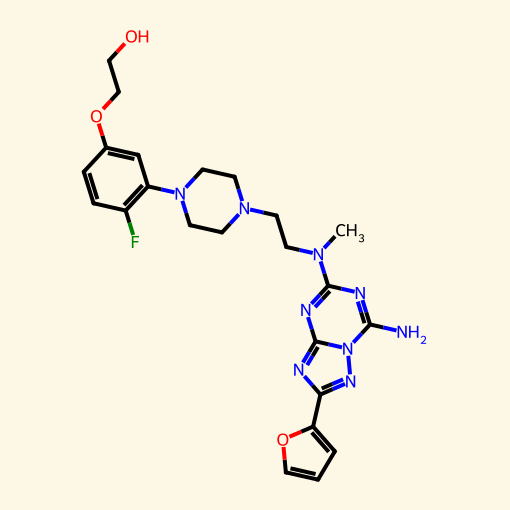 CN(CCN1CCN(c2cc(OCCO)ccc2F)CC1)c1nc(N)n2nc(-c3ccco3)nc2n1